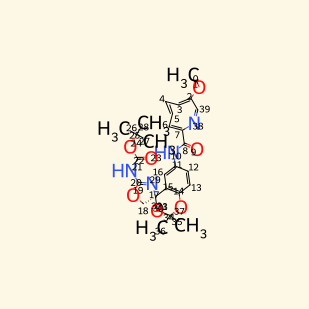 COC1=C\C=C\C=C(C(=O)Nc2ccc3c(c2)[C@@]2(COC(NC(=O)OC(C)(C)C)=N2)C2(COC2)C(C)(C)O3)/N=C\1